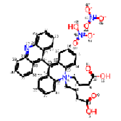 O=C(O)CCC[N+]1(CCCC(=O)O)C2=CC=CCC2=C(c2c3ccccc3nc3ccccc23)c2ccccc21.O=[N+]([O-])O.O=[N+]([O-])[O-]